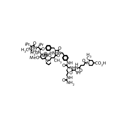 CC[C@H](C)[C@@H]([C@@H](CC(=O)N1CCC[C@H]1[C@H](OC)[C@@H](C)C(=O)N[C@@H](Cc1ccccc1)C(=O)NCc1ccc(NC(=O)[C@H](CCCNC(N)=O)NC(=O)[C@@H](NC(=O)CCC(=O)N2CCC(C(=O)O)CC2C)C(C)C)cc1)OC)N(C)C(=O)[C@@H](NC(=O)[C@H](C(C)C)N(C)C)C(C)C